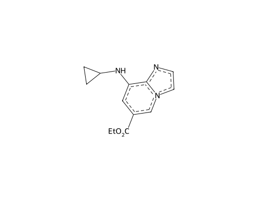 CCOC(=O)c1cc(NC2CC2)c2nccn2c1